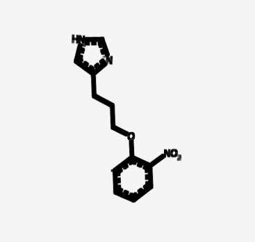 O=[N+]([O-])c1ccc[c]c1OCCCc1c[nH]cn1